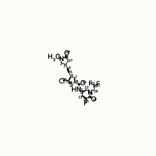 CN1CC(C#Cc2cc(C(=O)Nc3cc(F)c(=O)n(CC(F)F)c3)sc2Cl)CC1=O